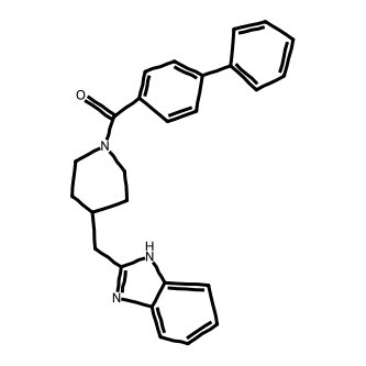 O=C(c1ccc(-c2ccccc2)cc1)N1CCC(Cc2nc3ccccc3[nH]2)CC1